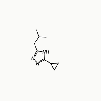 CC(C)Cc1nnc(C2CC2)[nH]1